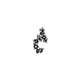 Cc1ccn2ncc(-c3ccc(Oc4ncc(NC(=O)Nc5cc(C(F)(F)F)ccc5-n5ccc(C(F)(F)F)n5)cn4)cc3)c2n1